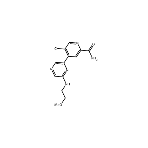 COCCNc1cncc(-c2cc(C(N)=O)ncc2Cl)n1